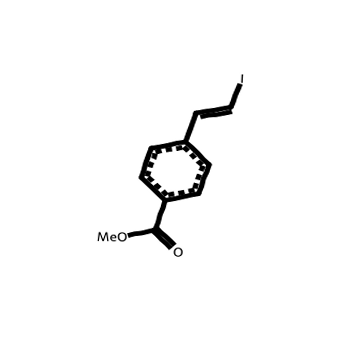 COC(=O)c1ccc(/C=C/I)cc1